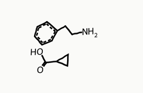 NCCc1ccccc1.O=C(O)C1CC1